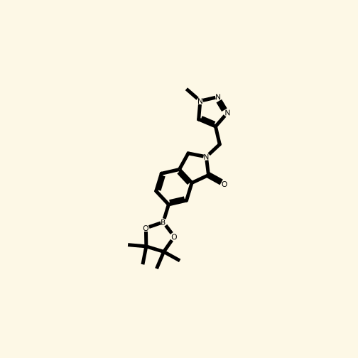 Cn1cc(CN2Cc3ccc(B4OC(C)(C)C(C)(C)O4)cc3C2=O)nn1